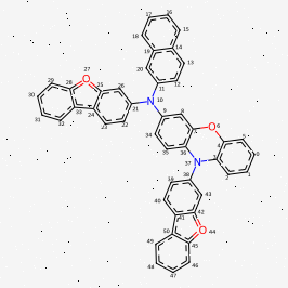 c1ccc2c(c1)Oc1cc(N(c3ccc4ccccc4c3)c3ccc4c(c3)oc3ccccc34)ccc1N2c1ccc2c(c1)oc1ccccc12